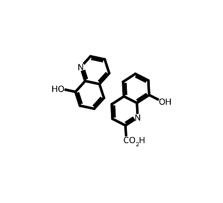 O=C(O)c1ccc2cccc(O)c2n1.Oc1cccc2cccnc12